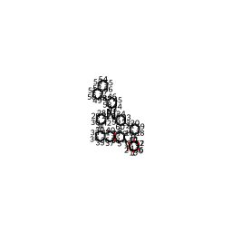 c1ccc(-c2ccccc2-c2c(-c3ccccc3)cccc2-c2ccc(N(c3cccc(-c4cccc5ccccc45)c3)c3cccc(-c4cccc5ccccc45)c3)cc2)cc1